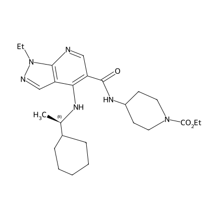 CCOC(=O)N1CCC(NC(=O)c2cnc3c(cnn3CC)c2N[C@H](C)C2CCCCC2)CC1